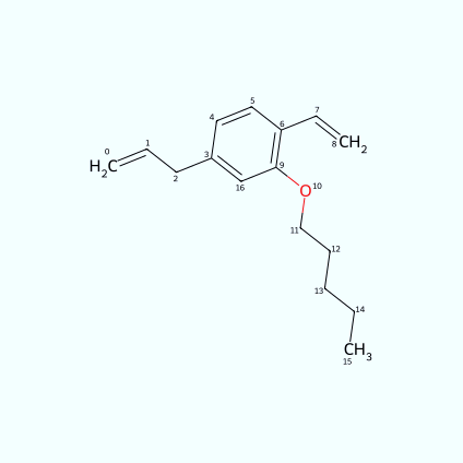 C=CCc1ccc(C=C)c(OCCCCC)c1